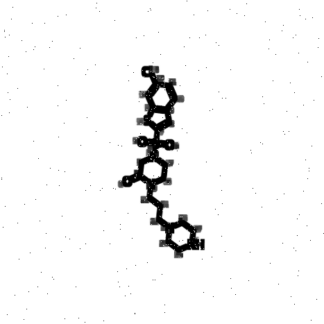 O=C1CN(S(=O)(=O)c2cc3ccc(Cl)cc3s2)CCN1CCCN1CCNCC1